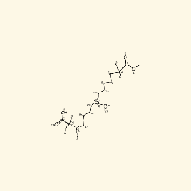 COC(=O)C(C)(C)CCCCC[S+]([O-])CCCCC(C)C(C)(C)C(=O)O